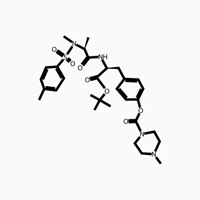 Cc1ccc(S(=O)(=O)N(C)[C@@H](C)C(=O)N[C@@H](Cc2ccc(OC(=O)N3CCN(C)CC3)cc2)C(=O)OC(C)(C)C)cc1